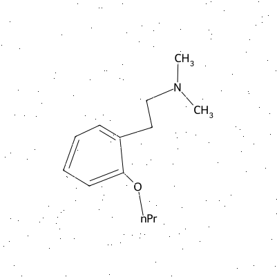 CCCOc1ccccc1CCN(C)C